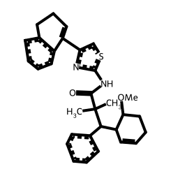 COC1CCC=CC1C(c1ccccc1)C(C)(C)C(=O)Nc1nc(C2=CCCc3ccccc32)cs1